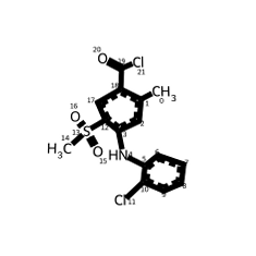 Cc1cc(Nc2ccccc2Cl)c(S(C)(=O)=O)cc1C(=O)Cl